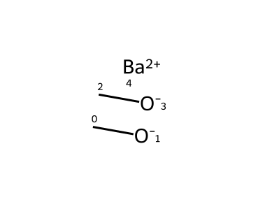 C[O-].C[O-].[Ba+2]